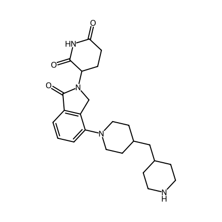 O=C1CCC(N2Cc3c(cccc3N3CCC(CC4CCNCC4)CC3)C2=O)C(=O)N1